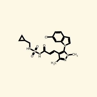 Cc1nn(C)c(-n2ccc3ccc(Cl)cc32)c1C=CC(=O)NS(=O)(=O)NCC1CC1